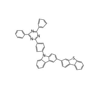 c1ccc(-c2nc(-c3ccccc3)nc(-c3ccc(-n4c5ccccc5c5cc(-c6ccc7c(c6)sc6ccccc67)ccc54)cc3)n2)cc1